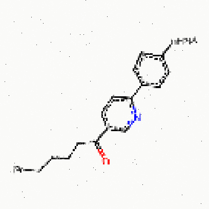 CCCCCCCc1ccc(-c2ccc(C(=O)CCCCC(C)C)cn2)cc1